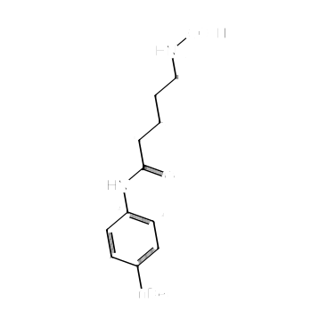 CCCCCCCCCCc1ccc(NC(=O)CCCCNC(=O)O)cc1